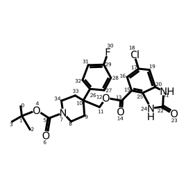 CC(C)(C)OC(=O)N1CCC(COC(=O)c2cc(Cl)cc3[nH]c(=O)[nH]c23)(c2ccc(F)cc2)CC1